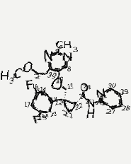 COCc1nc(C)ncc1OC[C@@]1(c2cc(F)cc(F)c2)C[C@H]1C(=O)Nc1ccccn1